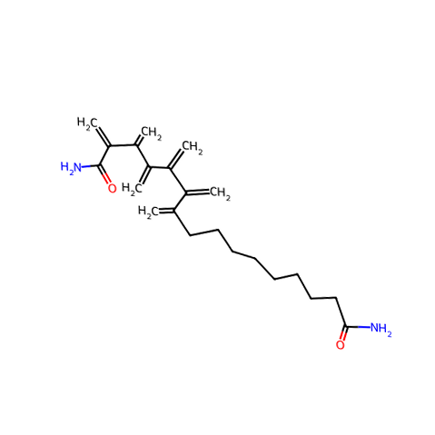 C=C(CCCCCCCCC(N)=O)C(=C)C(=C)C(=C)C(=C)C(=C)C(N)=O